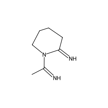 CC(=N)N1CCCCC1=N